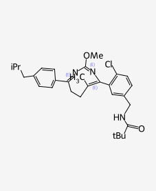 COC1=N/C(c2cc(CNC(=O)C(C)(C)C)ccc2Cl)=C(\C)CC/C(c2ccc(CC(C)C)cc2)=N\1